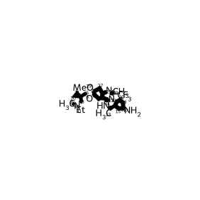 CCN(C)CC1(COc2cc3c(N[C@H](C)c4cc(N)cc(C(F)(F)F)c4)nc(C)nc3cc2OC)CC1